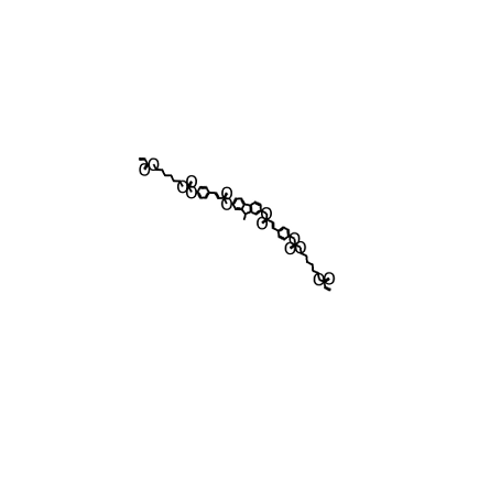 C=CC(=O)OCCCCCCOC(=O)Oc1ccc(C=CC(=O)Oc2ccc3c(c2)C(C)c2cc(OC(=O)C=Cc4ccc(OC(=O)OCCCCCCOC(=O)C=C)cc4)ccc2-3)cc1